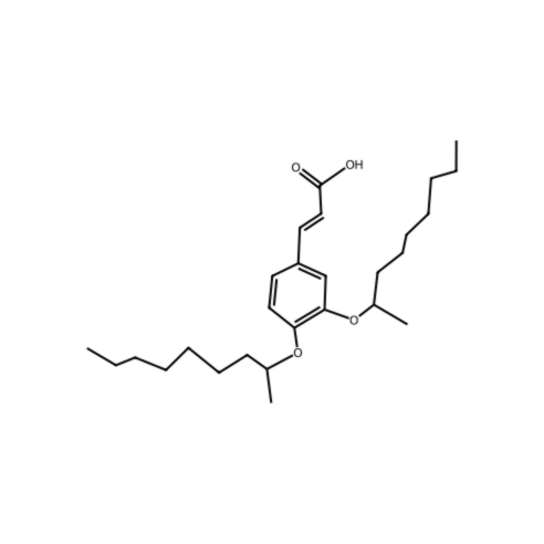 CCCCCCCC(C)Oc1ccc(/C=C/C(=O)O)cc1OC(C)CCCCCCC